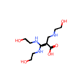 O=C(O)C(CNCCO)=C(NCCO)NCCO